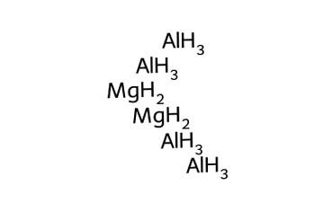 [AlH3].[AlH3].[AlH3].[AlH3].[MgH2].[MgH2]